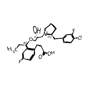 CC[C@@H](OC[C@H](O)CN1CCC[C@H]1Cc1ccc(Cl)c(F)c1)c1cc(F)ccc1CCC(=O)O